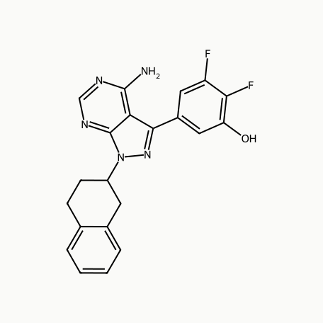 Nc1ncnc2c1c(-c1cc(O)c(F)c(F)c1)nn2C1CCc2ccccc2C1